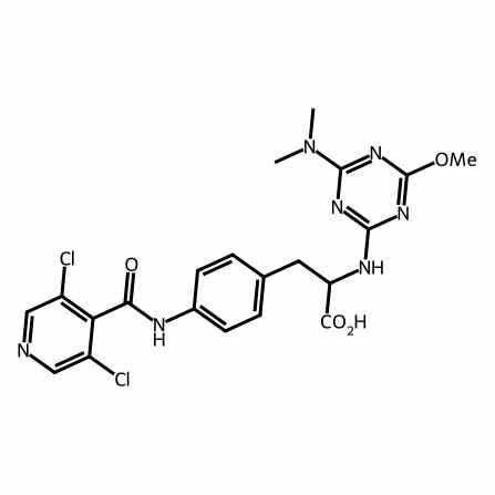 COc1nc(NC(Cc2ccc(NC(=O)c3c(Cl)cncc3Cl)cc2)C(=O)O)nc(N(C)C)n1